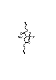 C=CCOC(=O)CC(C(=O)OCC=C)S(=O)(=O)[O-].[Na+]